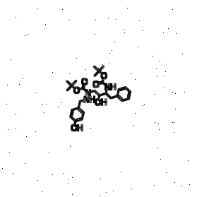 CC(C)(C)OC(=O)NC(Cc1ccccc1)C(O)CN(NCc1ccc(O)cc1)C(=O)OC(C)(C)C